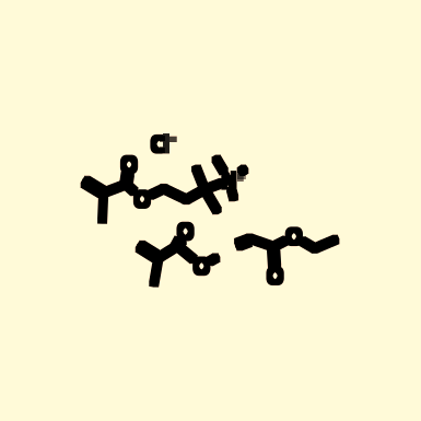 C=C(C)C(=O)OC.C=C(C)C(=O)OCCC(C)(C)[N+](C)(C)C.C=CC(=O)OCC.[Cl-]